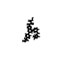 CCNC(=O)Nc1nc2cc(-c3cnc(C(C)(C)O)nc3)cc(-c3cc(CN4CCC(F)(F)C4)ccn3)c2s1